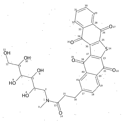 CN(CC(O)C(O)C(O)C(O)CO)C(=O)CCc1ccc2c(=O)c3sc4c(=O)c5ccccc5c(=O)c4c3c(=O)c2c1